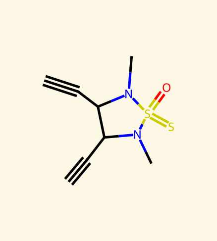 C#CC1C(C#C)N(C)S(=O)(=S)N1C